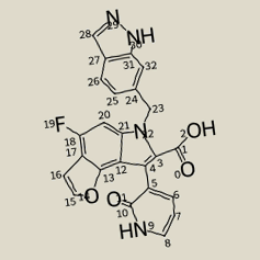 O=C(O)c1c(-c2ccc[nH]c2=O)c2c3occc3c(F)cc2n1Cc1ccc2cn[nH]c2c1